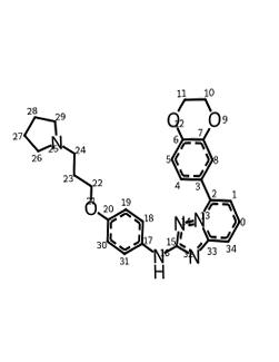 c1cc(-c2ccc3c(c2)OCCO3)n2nc(Nc3ccc(OCCCN4CCCC4)cc3)nc2c1